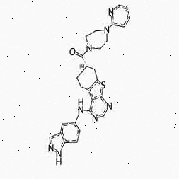 O=C([C@H]1CCc2c(sc3ncnc(Nc4ccc5[nH]ncc5c4)c23)C1)N1CCN(c2ccccn2)CC1